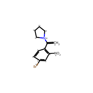 C=C(c1ccc(Br)cc1[N+](=O)[O-])N1CCCC1